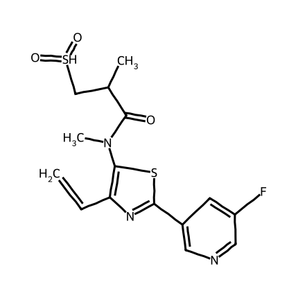 C=Cc1nc(-c2cncc(F)c2)sc1N(C)C(=O)C(C)C[SH](=O)=O